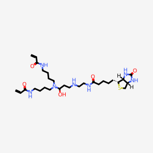 C=CC(=O)NCCCCN(CCCCNC(=O)C=C)C(O)CCNCCNC(=O)CCCC[C@H]1SC[C@H]2NC(=O)N[C@H]21